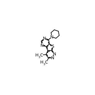 Cc1nnc2sc3c(N4CCCCC4)ncnc3c2c1C